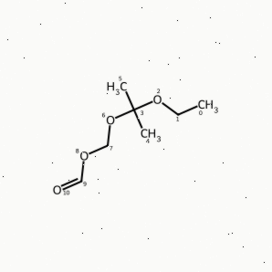 CCOC(C)(C)OCOC=O